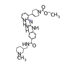 CCOC(=O)N1CC=C(c2ccc[nH]/c2=N\C(=N)Nc2ccc(C(=O)NCC3CCCN(C)C3)cc2)CC1